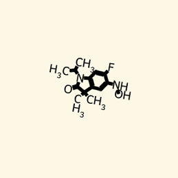 CC(C)N1C(=O)C(C)(C)c2cc(NO)c(F)cc21